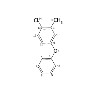 Cc1cc(Oc2c[c]ccc2)ccc1Cl